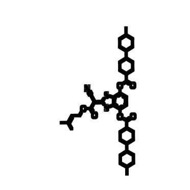 CC(C)=CCOC(=O)C(C#N)=C1Sc2c(OC(=O)C3CCC(C4CCC(C)CC4)CC3)ccc(OC(=O)C3CCC(C4CCC(C)CC4)CC3)c2S1